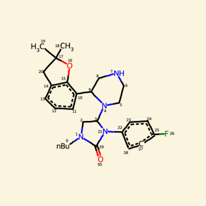 CCCCN1CC(N2CCNCC2c2cccc3c2OC(C)(C)C3)N(c2ccc(F)cc2)C1=O